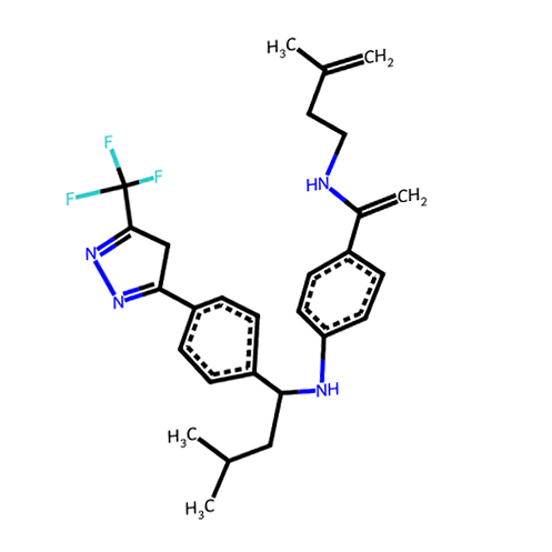 C=C(C)CCNC(=C)c1ccc(NC(CC(C)C)c2ccc(C3=NN=C(C(F)(F)F)C3)cc2)cc1